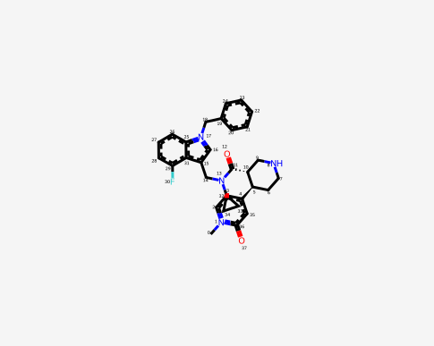 Cn1ccc([C@@H]2CCNC[C@H]2C(=O)N(Cc2cn(Cc3ccccc3)c3cccc(F)c23)C2CC2)cc1=O